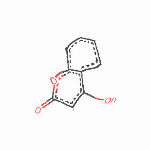 O=c1[c]c(O)c2ccccc2o1